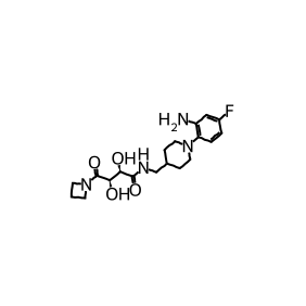 Nc1cc(F)ccc1N1CCC(CNC(=O)[C@H](O)[C@@H](O)C(=O)N2CCC2)CC1